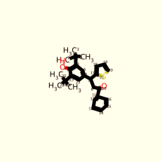 CC(C)(C)c1cc(C(CC(=O)c2ccccc2)c2cccs2)cc(C(C)(C)C)c1O